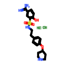 Cl.Cl.N=C(N)c1ccc(O)c(S(=O)(=O)NCCc2ccc(OC3CCNCC3)cc2)c1